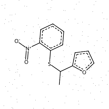 CC(Sc1ccccc1[N+](=O)[O-])c1ccco1